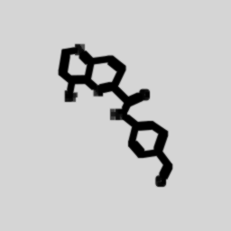 O=Cc1ccc(NC(=O)c2ccc3nccc(Br)c3n2)cc1